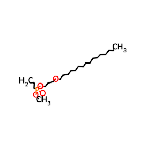 C=CCP(=O)(OC)OCCCOCCCCCCCCCCCCCCCC